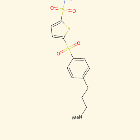 CNCCCc1ccc(S(=O)(=O)c2ccc(S(N)(=O)=O)s2)cc1